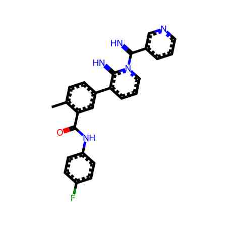 Cc1ccc(-c2cccn(C(=N)c3cccnc3)c2=N)cc1C(=O)Nc1ccc(F)cc1